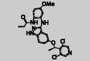 C=CC(=O)Nc1ccc(OC)cc1Nc1n[nH]c2ccc(O[C@H](C)c3c(Cl)cncc3Cl)cc12